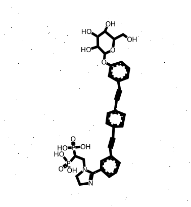 O=P(O)(O)C(CN1CCN=C1c1cccc(C#Cc2ccc(C#Cc3cccc(OC4OC(CO)C(O)C(O)C4O)c3)cc2)c1)P(=O)(O)O